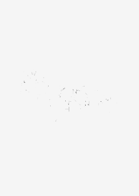 CS(=O)(=O)c1ccc(C(CC2CCCC2)C(=O)Nc2cnc(CC3OCCO3)cn2)cc1Cl